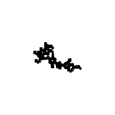 CC(C)Oc1ccc(-c2nnc(-c3cc(F)c(OC[C@H]4[C@@H](C)OC(C)(C)N4C(=O)OC(C)(C)C)cc3Cl)s2)cc1Cl